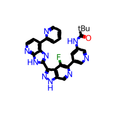 CC(C)(C)C(=O)Nc1cncc(-c2ncc3[nH]nc(-c4nc5c(-c6ccccn6)ccnc5[nH]4)c3c2F)c1